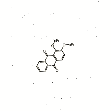 CCCOc1ccc2c(c1OCCC)C(=O)c1ccccc1C2=O